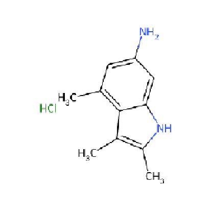 Cc1[nH]c2cc(N)cc(C)c2c1C.Cl